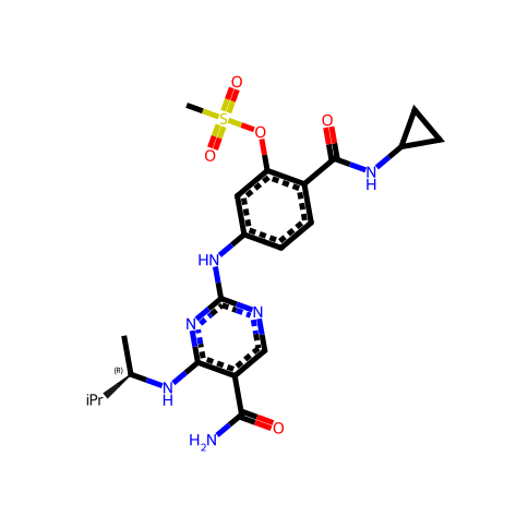 CC(C)[C@@H](C)Nc1nc(Nc2ccc(C(=O)NC3CC3)c(OS(C)(=O)=O)c2)ncc1C(N)=O